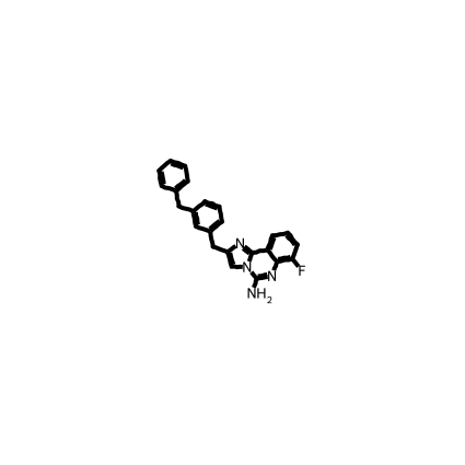 Nc1nc2c(F)cccc2c2nc(Cc3cccc(Cc4ccccc4)c3)cn12